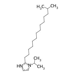 CC(C)CCCCCCCCCCCCc1[nH]cc[n+]1C(C)C